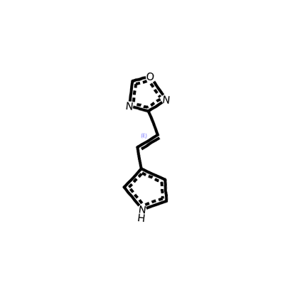 C(=C\c1ncon1)/c1cc[nH]c1